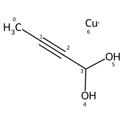 CC#CC(O)O.[Cu]